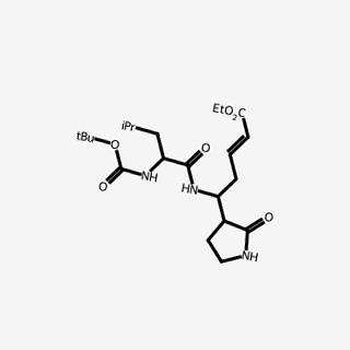 CCOC(=O)C=CCC(NC(=O)C(CC(C)C)NC(=O)OC(C)(C)C)C1CCNC1=O